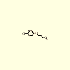 COCCCOc1ccc(Cl)nc1